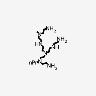 CCCN(CCN)CCN(CCNCCN)CCNCCN(C)CCN